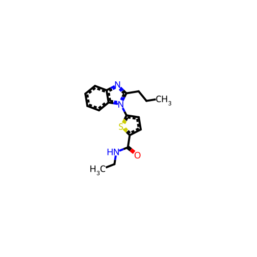 CCCc1nc2ccccc2n1-c1ccc(C(=O)NCC)s1